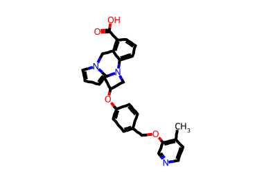 Cc1ccncc1OCc1ccc(OC2CN(c3cccc(C(=O)O)c3Cn3cccc3)C2)cc1